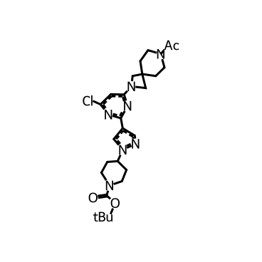 CC(=O)N1CCC2(CC1)CN(c1cc(Cl)nc(-c3cnn(C4CCN(C(=O)OC(C)(C)C)CC4)c3)n1)C2